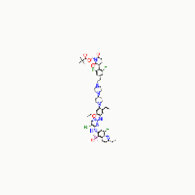 CCOc1cc(N2CCC(N3CCN(CCc4cc(F)c(C5CCC(=O)N(COC(=O)C(C)(C)C)C5=O)c(F)c4)CC3)CC2)c(CC)cc1Nc1ncc(Br)c(Nc2cc(F)c3nc(CC)ccc3c2P(C)(C)=O)n1